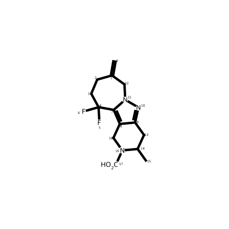 C=C1CCC(F)(F)c2c3c(nn2C1)CC(C)N(C(=O)O)C3